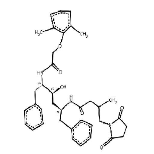 Cc1cccc(C)c1OCC(=O)N[C@@H](Cc1ccccc1)[C@@H](O)C[C@H](Cc1ccccc1)NC(=O)CC(C)CN1C(=O)CCC1=O